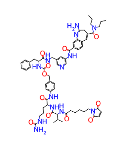 CCCN(CCC)C(=O)C1=Cc2ccc(C(=O)Nc3cncc(CNC(=O)C(Cc4ccccc4)NC(=O)OCc4ccc(NC(=O)C(CCCNC(N)=O)NC(=O)C(NC(=O)CCCCCN5C(=O)C=CC5=O)C(C)C)cc4)c3)cc2N=C(N)C1